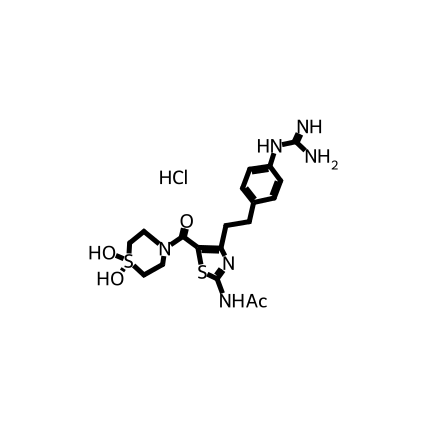 CC(=O)Nc1nc(CCc2ccc(NC(=N)N)cc2)c(C(=O)N2CCS(O)(O)CC2)s1.Cl